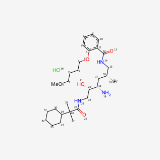 COCCCCOc1ccccc1C(=O)NC[C@@H](C[C@H](N)[C@@H](O)CNC(=O)C(C)(C)C1CCCCC1)C(C)C.Cl